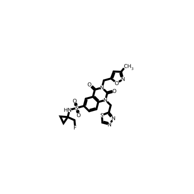 Cc1cc(Cn2c(=O)c3cc(S(=O)(=O)NC4(CF)CC4)ccc3n(Cc3nncs3)c2=O)on1